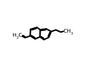 C=Cc1ccc2cc(CCC)ccc2c1